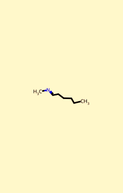 CCCCC/C=N/C